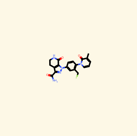 Cc1cccn(-c2ccc(-n3nc(C(N)=O)c4c3C(=O)NCC4)cc2CF)c1=O